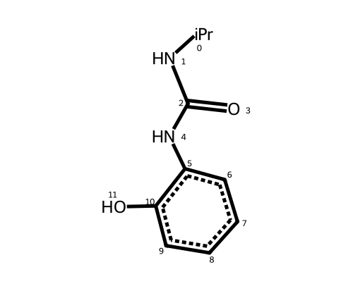 CC(C)NC(=O)Nc1ccccc1O